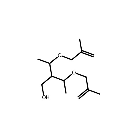 C=C(C)COC(C)[C](CO)C(C)OCC(=C)C